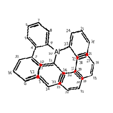 c1ccc(-c2cccc[c]2[Al]([c]2ccccc2-c2ccccc2)[c]2ccccc2-c2ccccc2)cc1